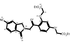 CCOC(=O)COc1ccc(C(=O)CN2Cc3cc(C#N)ccc3C2=O)c(OCC(=O)OCC)c1